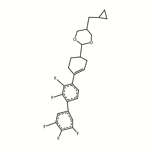 Fc1cc(-c2ccc(C3=CCC(C4OCC(CC5CC5)CO4)CC3)c(F)c2F)cc(F)c1F